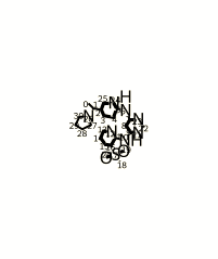 CC(c1ccc(Nc2cc(Nc3ncccc3S(C)(=O)=O)ncn2)nc1)N1CCCC1